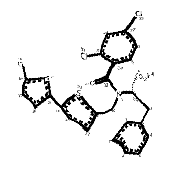 O=C(O)[C@H](Cc1ccccc1)N(Cc1ccc(-c2ccc(Cl)s2)s1)C(=O)c1ccc(Cl)cc1Cl